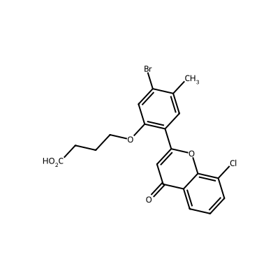 Cc1cc(-c2cc(=O)c3cccc(Cl)c3o2)c(OCCCC(=O)O)cc1Br